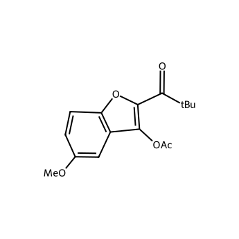 COc1ccc2oc(C(=O)C(C)(C)C)c(OC(C)=O)c2c1